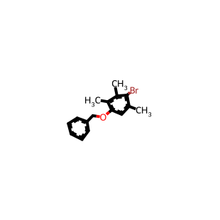 Cc1cc(OCc2ccccc2)c(C)c(C)c1Br